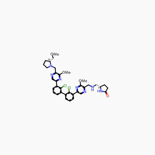 COC[C@H]1CCCN1Cc1ncc(-c2cccc(-c3cccc(-c4cnc(CNC[C@@H]5CCC(=O)N5)c(OC)n4)c3Cl)c2Cl)nc1OC